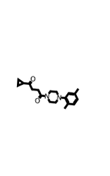 Cc1ccc(C)c(N2CCN(C(=O)CCC(=O)C3CC3)CC2)c1